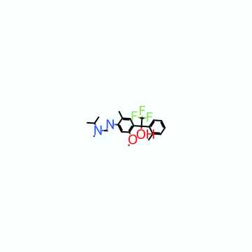 COc1cc(/N=C/N(C)C(C)C)c(C)cc1C(O)(c1ccccc1C)C(F)(F)F